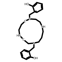 Oc1ccccc1CN1CCCNCCN(Cc2ccccc2O)CCCNCC1